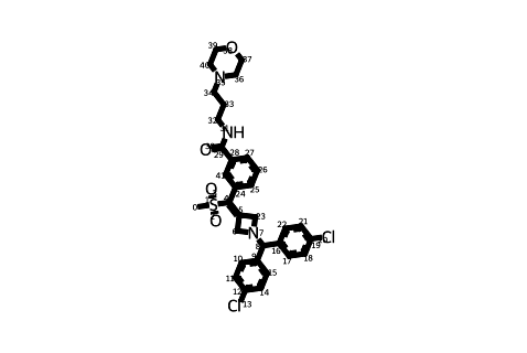 CS(=O)(=O)C(=C1CN(C(c2ccc(Cl)cc2)c2ccc(Cl)cc2)C1)c1cccc(C(=O)NCCCN2CCOCC2)c1